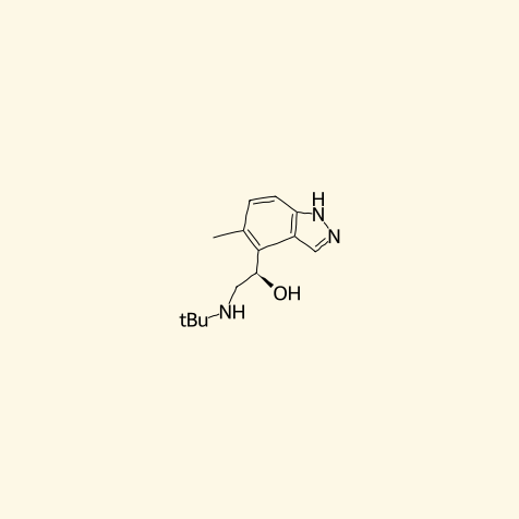 Cc1ccc2[nH]ncc2c1[C@@H](O)CNC(C)(C)C